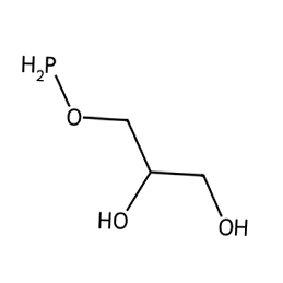 OCC(O)COP